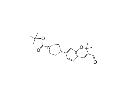 CC(C)(C)OC(=O)N1CCN(c2ccc3c(c2)OC(C)(C)C(C=O)=C3)CC1